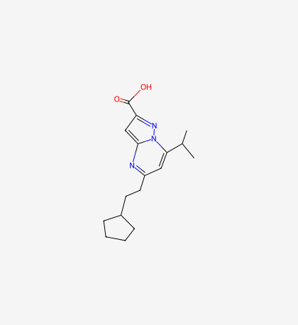 CC(C)c1cc(CCC2CCCC2)nc2cc(C(=O)O)nn12